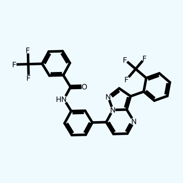 O=C(Nc1cccc(-c2ccnc3c(-c4ccccc4C(F)(F)F)cnn23)c1)c1cccc(C(F)(F)F)c1